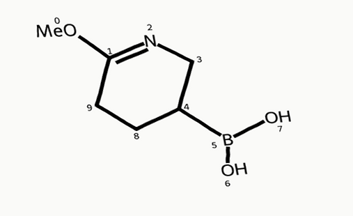 COC1=NCC(B(O)O)CC1